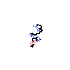 Cc1ncc(C(CC(=O)OC(C)(C)C)n2nccc2CCCc2ccc3c(n2)NCCCC3)cn1